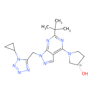 CC(C)(C)c1nc(N2CC[C@H](O)C2)c2cnn(Cc3nnnn3C3CC3)c2n1